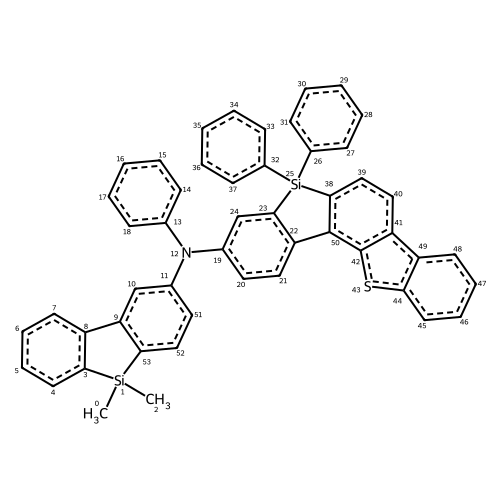 C[Si]1(C)c2ccccc2-c2cc(N(c3ccccc3)c3ccc4c(c3)[Si](c3ccccc3)(c3ccccc3)c3ccc5c(sc6ccccc65)c3-4)ccc21